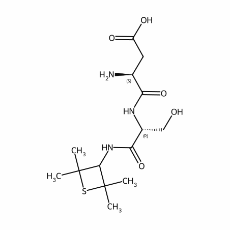 CC1(C)SC(C)(C)C1NC(=O)[C@@H](CO)NC(=O)[C@@H](N)CC(=O)O